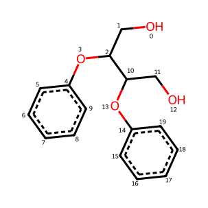 OCC(Oc1ccccc1)C(CO)Oc1ccccc1